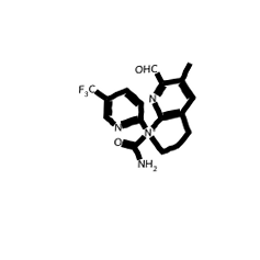 Cc1cc2c(nc1C=O)[N+](C(N)=O)(c1ccc(C(F)(F)F)cn1)CCC2